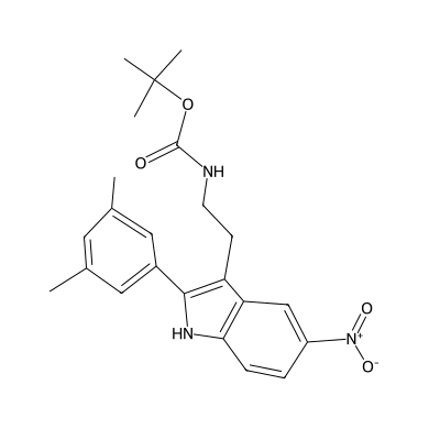 Cc1cc(C)cc(-c2[nH]c3ccc([N+](=O)[O-])cc3c2CCNC(=O)OC(C)(C)C)c1